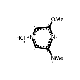 CNc1cncc(OC)n1.Cl